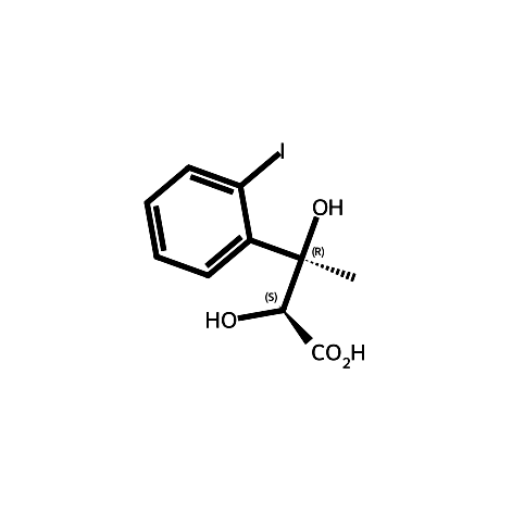 C[C@@](O)(c1ccccc1I)[C@H](O)C(=O)O